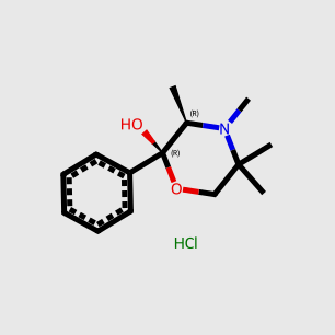 C[C@H]1N(C)C(C)(C)CO[C@]1(O)c1ccccc1.Cl